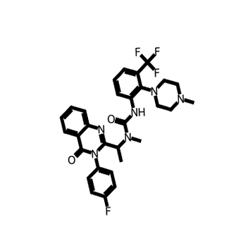 CC(c1nc2ccccc2c(=O)n1-c1ccc(F)cc1)N(C)C(=O)Nc1cccc(C(F)(F)F)c1N1CCN(C)CC1